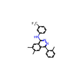 Cc1cc2c(Nc3cccc(C(F)(F)F)c3)nnc(-c3ccccc3C)c2cc1C